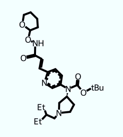 CCC(CC)CN1CC[C@@H](N(C(=O)OC(C)(C)C)c2ccc(C=CC(=O)NOC3CCCCO3)nc2)C1